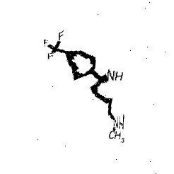 CNC/C=C/C(=N)c1ccc(C(F)(F)F)cc1